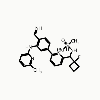 Cc1cccc(Nc2cc(-c3cccc(C(N[SH](C)(=O)C(C)(C)C)C4(F)CCC4)n3)ccc2C=N)n1